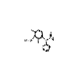 CCOC(=O)c1c(F)ccc(N(c2cccs2)[SH](=O)=O)c1F